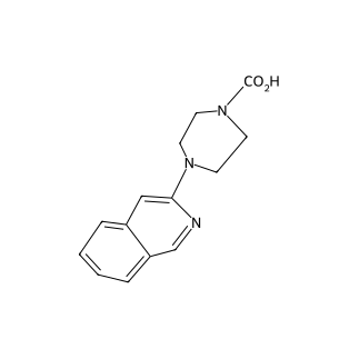 O=C(O)N1CCN(c2cc3ccccc3cn2)CC1